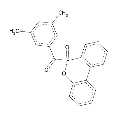 Cc1cc(C)cc(C(=O)P2(=O)Oc3ccccc3-c3ccccc32)c1